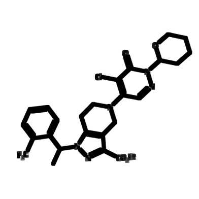 CCOC(=O)c1nn(C(C)c2ccccc2C(F)(F)F)c2c1CN(c1cnn(C3CCCCO3)c(=O)c1Cl)CC2